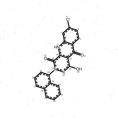 O=c1c2ccc(Cl)cc2[nH]c2c(=O)n(-c3cccc4ccccc34)nc(O)c12